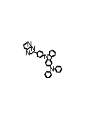 c1ccc(N(c2ccccc2)c2ccc3c(c2)c2ccccc2n3-c2ccc(-c3cnc4cccnc4n3)cc2)cc1